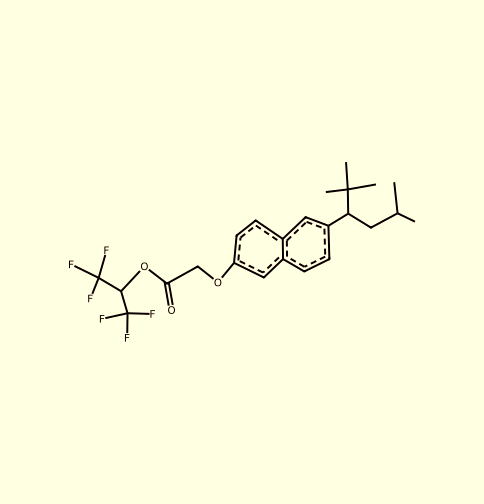 CC(C)CC(c1ccc2cc(OCC(=O)OC(C(F)(F)F)C(F)(F)F)ccc2c1)C(C)(C)C